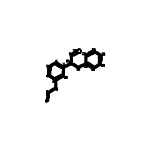 CCCc1cccc(N([C]=O)Cc2ccccc2)c1